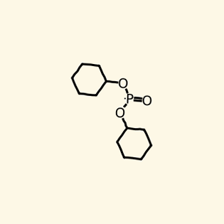 O=[P](OC1CCCCC1)OC1CCCCC1